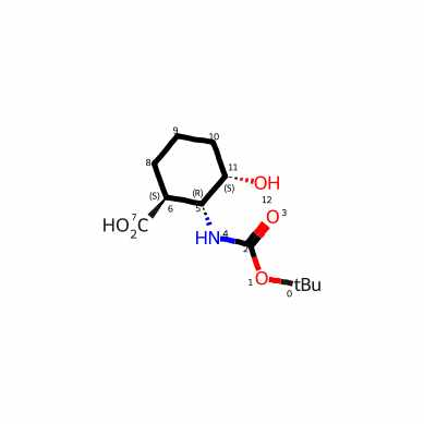 CC(C)(C)OC(=O)N[C@@H]1[C@@H](C(=O)O)CCC[C@@H]1O